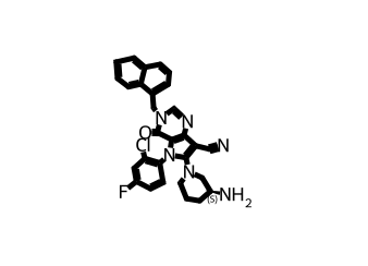 N#Cc1c(N2CCC[C@H](N)C2)n(-c2ccc(F)cc2Cl)c2c(=O)n(Cc3cccc4ccccc34)cnc12